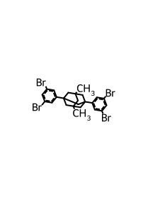 CC12CC3(C)CC(c4cc(Br)cc(Br)c4)(C1)CC(c1cc(Br)cc(Br)c1)(C2)C3